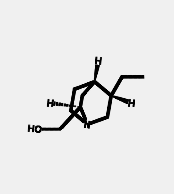 CC[C@@H]1CN2CC[C@H]1C[C@@H]2CO